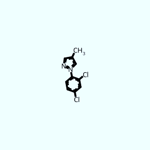 Cc1cnn(-c2ccc(Cl)cc2Cl)c1